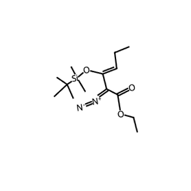 CC/C=C(\O[Si](C)(C)C(C)(C)C)C(=[N+]=[N-])C(=O)OCC